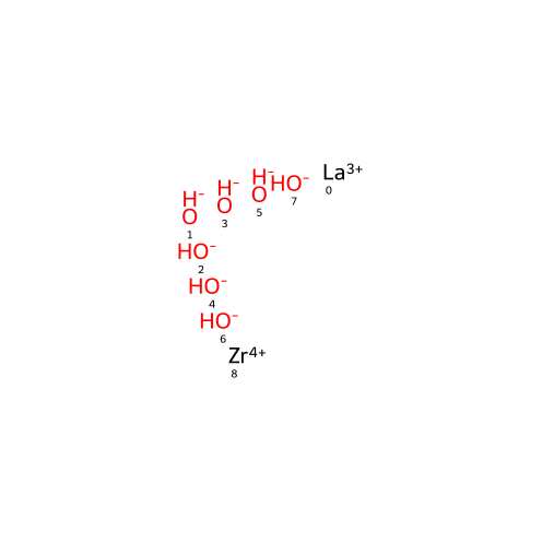 [La+3].[OH-].[OH-].[OH-].[OH-].[OH-].[OH-].[OH-].[Zr+4]